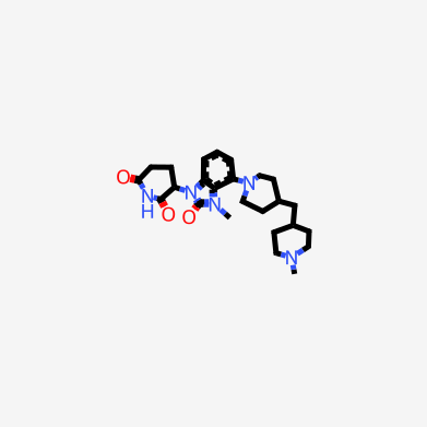 CN1CCC(CC2CCN(c3cccc4c3n(C)c(=O)n4C3CCC(=O)NC3=O)CC2)CC1